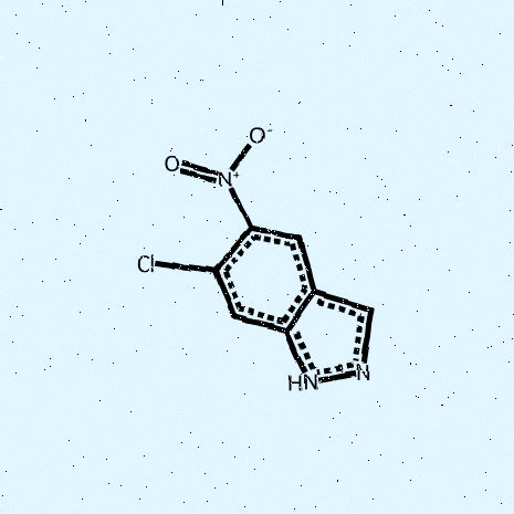 O=[N+]([O-])c1cc2cn[nH]c2cc1Cl